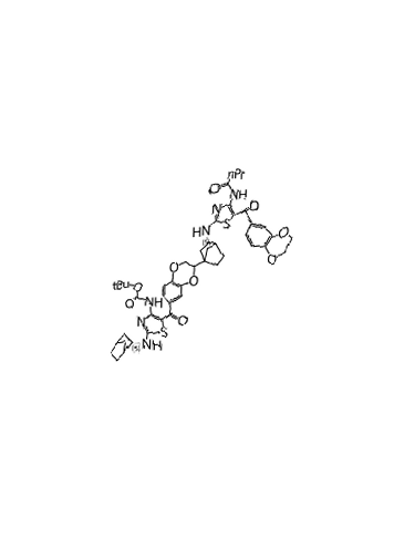 CCCC(=O)Nc1nc(N[C@H]2CC3(C4COc5ccc(C(=O)c6sc(N[C@H]7CC8CCC7C8)nc6NC(=O)OC(C)(C)C)cc5O4)CCC2C3)sc1C(=O)c1ccc2c(c1)OCCO2